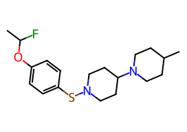 CC1CCN(C2CCN(Sc3ccc(OC(C)F)cc3)CC2)CC1